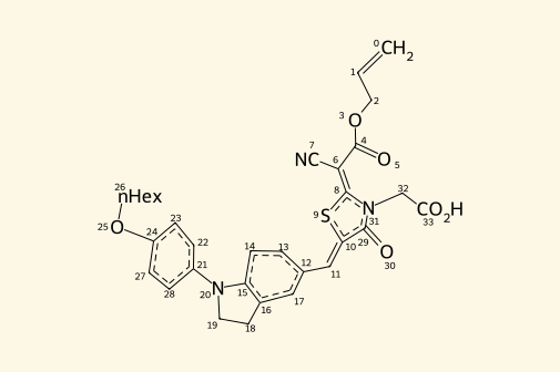 C=CCOC(=O)/C(C#N)=c1/s/c(=C\c2ccc3c(c2)CCN3c2ccc(OCCCCCC)cc2)c(=O)n1CC(=O)O